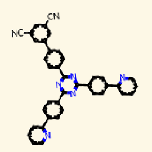 N#Cc1cc(C#N)cc(-c2ccc(-c3nc(-c4ccc(-c5ccccn5)cc4)nc(-c4ccc(-c5ccccn5)cc4)n3)cc2)c1